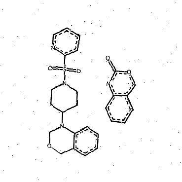 O=S(=O)(c1ccccn1)N1CCC(N2COCc3ccccc32)CC1.O=c1nc2ccccc2co1